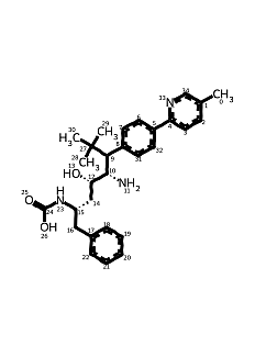 Cc1ccc(-c2ccc(C([C@H](N)[C@@H](O)C[C@H](Cc3ccccc3)NC(=O)O)C(C)(C)C)cc2)nc1